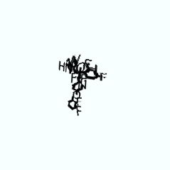 CN1N=CN(CC(O)(c2ccc(F)cc2F)C(F)(F)c2ccc(OCc3cccc(F)c3F)cn2)N1